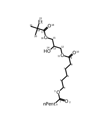 CCCCCC(=O)OCCCCCC(=O)OCC(O)COC(=O)C(C)(C)CC